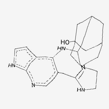 OC12CC3CC(C1)C(Nc1c(C4=NCCN4)cnc4[nH]ccc14)C(C3)C2